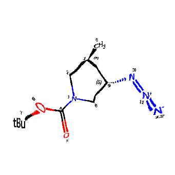 C[C@@H]1CN(C(=O)OC(C)(C)C)C[C@H]1N=[N+]=[N-]